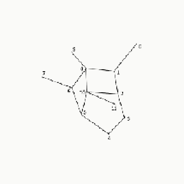 CC1C2CCC3C(C)C1(C)C23C